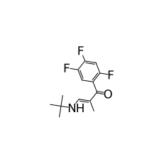 CC(=CNC(C)(C)C)C(=O)c1cc(F)c(F)cc1F